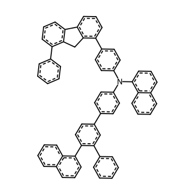 c1ccc(-c2cc(-c3ccc(N(c4ccc(-c5cccc6c5Cc5c(-c7ccccc7)cccc5-6)cc4)c4cccc5ccccc45)cc3)ccc2-c2cccc3ccccc23)cc1